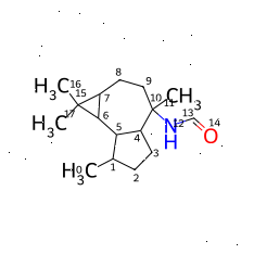 CC1CCC2C1C1C(CCC2(C)NC=O)C1(C)C